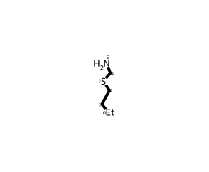 CCCCSCN